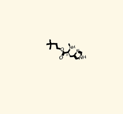 CN[C@@H](Cc1c[nH]cn1)C(=O)OCCC(C)(C)C